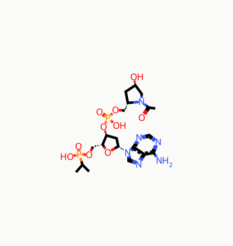 CC(=O)N1C[C@H](O)C[C@H]1COP(=O)(O)O[C@H]1C[C@H](n2cnc3c(N)ncnc32)O[C@@H]1COP(=O)(O)C(C)C